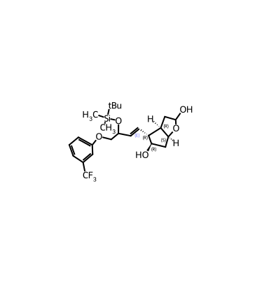 CC(C)(C)[Si](C)(C)OC(/C=C/[C@@H]1[C@H]2CC(O)O[C@H]2C[C@H]1O)COc1cccc(C(F)(F)F)c1